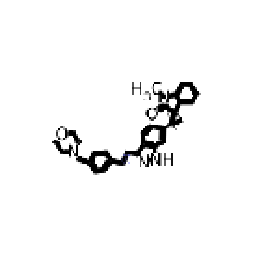 CN1C(=O)[C@@]2(C[C@H]2c2ccc3c(/C=C/c4ccc(CN5CCOCC5)cc4)n[nH]c3c2)c2ccccc21